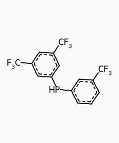 FC(F)(F)c1cccc(Pc2cc(C(F)(F)F)cc(C(F)(F)F)c2)c1